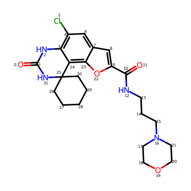 O=C1Nc2c(Cl)cc3cc(C(=O)NCCCN4CCOCC4)oc3c2C2(CCCCC2)N1